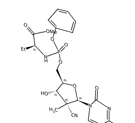 CC[C@H](NP(=O)(OC[C@H]1O[C@@H](n2ccc(N)nc2=O)[C@](C)(C#N)[C@@H]1O)Oc1ccccc1)C(=O)OC